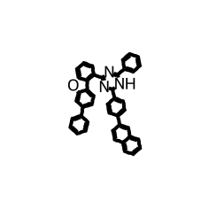 c1ccc(C2=NC(c3cccc4oc5cc(-c6ccccc6)ccc5c34)=NC(c3ccc(-c4ccc5ccccc5c4)cc3)N2)cc1